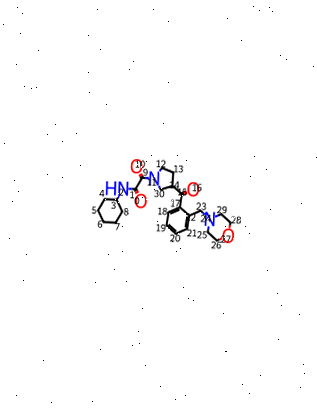 O=C(NC1CCCCC1)C(=O)N1CCC(C(=O)c2ccccc2CN2CCOCC2)C1